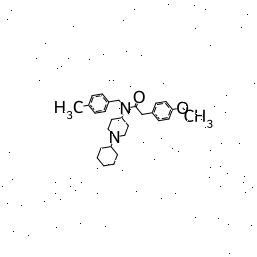 COc1ccc(CC(=O)N(Cc2ccc(C)cc2)C2CCN(C3CCCCC3)CC2)cc1